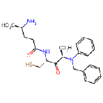 N[C@@H](CCC(=O)N[C@@H](CS)C(=O)[C@@H](C(=O)O)N(Cc1ccccc1)c1ccccc1)C(=O)O